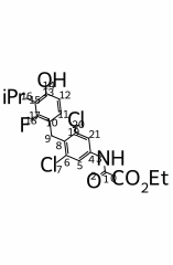 CCOC(=O)C(=O)Nc1cc(Cl)c(Cc2ccc(O)c(C(C)C)c2F)c(Cl)c1